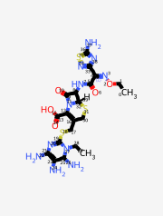 CCO/N=C(\C(=O)NC1C(=O)N2C(C(=O)O)=C(CSC3=NC(N)=C(N)C(N)N3CC)CS[C@@H]12)c1nsc(N)n1